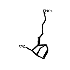 O=CCCCCC1C2C=CC(C2)C1C=O